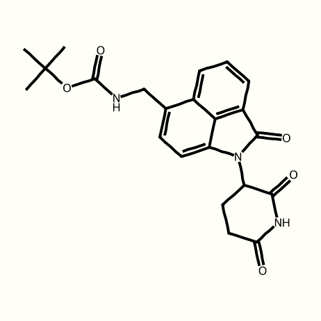 CC(C)(C)OC(=O)NCc1ccc2c3c(cccc13)C(=O)N2C1CCC(=O)NC1=O